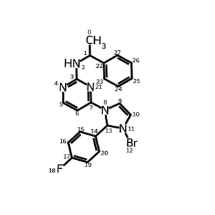 CC(Nc1nccc(N2C=CN(Br)C2c2ccc(F)cc2)n1)c1ccccc1